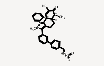 C[C@@H]1C(=O)C(C#N)=C[C@]2(c3ccccc3)c3nn(C)c(-c4cccc(-c5ccc(CN[SH](=O)=O)cc5)c4)c3CC[C@@H]12